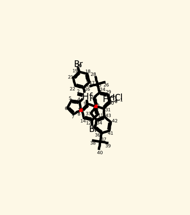 Cl.Cl.[CH2]=[Hf]([C]1=CC=CC1)([c]1ccc(Br)cc1)([c]1ccc(Br)cc1)[c]1c(C(C)(C)C)ccc2c1Cc1cc(C(C)(C)C)ccc1-2